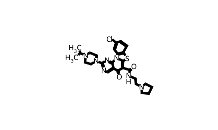 CC(C)N1CCN(c2ncc3c(=O)c(C(=O)NCCN4CCCC4)c4sc5ccc(Cl)cc5n4c3n2)CC1